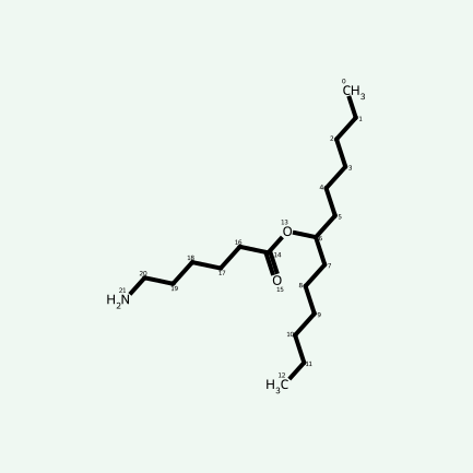 CCCCCCC(CCCCCC)OC(=O)CCCCCN